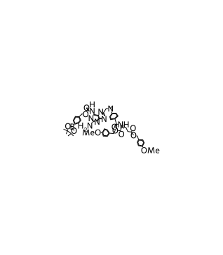 COc1ccc(COC(=O)CC[C@H](NC(=O)c2ccc(N(C)Cc3cnc4nc(N)nc(NC(=O)OCc5ccc(B6OC(C)(C)C(C)(C)O6)cc5)c4n3)cc2)C(=O)OCc2ccc(OC)cc2)cc1